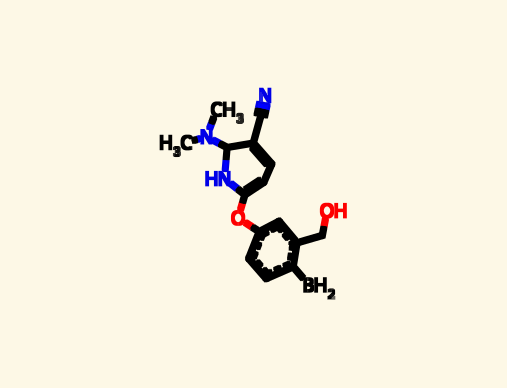 Bc1ccc(OC2=CC=C(C#N)C(N(C)C)N2)cc1CO